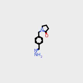 NN=Cc1ccc(CN2CCCC2=O)cc1